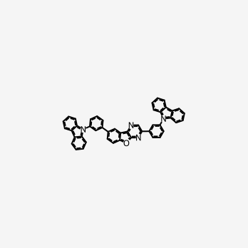 c1cc(-c2ccc3oc4nc(-c5cccc(-n6c7ccccc7c7ccccc76)c5)cnc4c3c2)cc(-n2c3ccccc3c3ccccc32)c1